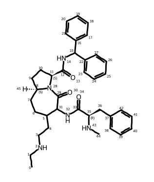 CCNCCC1CC[C@H]2CC[C@@H](C(=O)NC(c3ccccc3)c3ccccc3)N2C(=O)C1NC(=O)[C@@H](Cc1ccccc1)NC